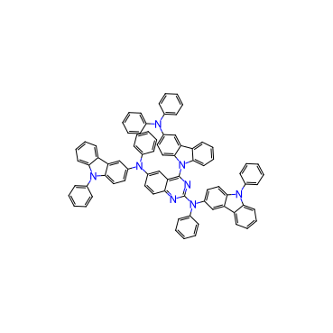 c1ccc(N(c2ccc3nc(N(c4ccccc4)c4ccc5c(c4)c4ccccc4n5-c4ccccc4)nc(-n4c5ccccc5c5cc(N(c6ccccc6)c6ccccc6)ccc54)c3c2)c2ccc3c(c2)c2ccccc2n3-c2ccccc2)cc1